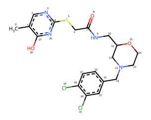 Cc1cnc(SCC(=O)NCC2CN(Cc3ccc(Cl)c(Cl)c3)CCO2)nc1O